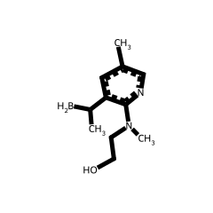 BC(C)c1cc(C)cnc1N(C)CCO